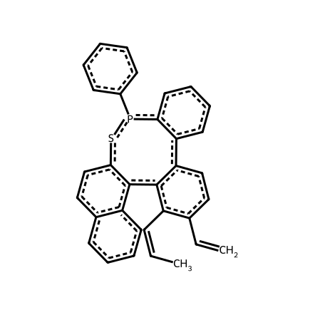 C=Cc1ccc2c3ccccc3p(-c3ccccc3)sc3ccc4ccccc4c3c2c1/C=C\C